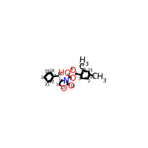 Cc1ccc(C(=O)OC(O)N2C(=O)OC[C@@H]2Cc2ccccc2)c(C)c1